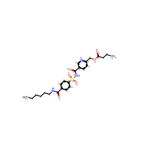 CCCCCCNC(=O)c1ccc(S(=O)(=O)NC(=O)c2ccc(COC(=O)CCC)nc2)cc1